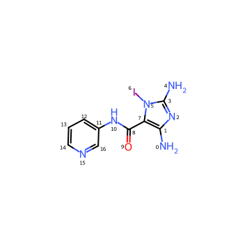 Nc1nc(N)n(I)c1C(=O)Nc1cccnc1